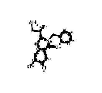 CC(C)C(CN)c1nc2cc(Cl)c(Cl)cc2c(=O)n1Cc1ccccc1